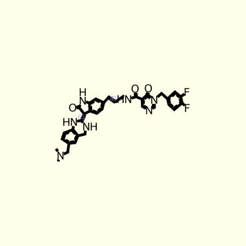 CN(C)Cc1ccc2c(c1)CN/C(=C1/C(=O)Nc3cc(/C=C/CNC(=O)c4cncn(Cc5ccc(F)c(F)c5)c4=O)ccc31)N2